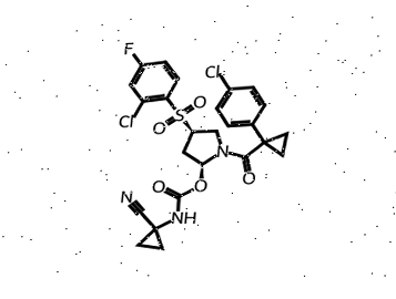 N#CC1(NC(=O)O[C@H]2C[C@@H](S(=O)(=O)c3ccc(F)cc3Cl)CN2C(=O)C2(c3ccc(Cl)cc3)CC2)CC1